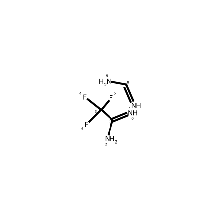 N=C(N)C(F)(F)F.N=CN